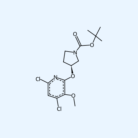 COc1c(Cl)cc(Cl)nc1O[C@H]1CCN(C(=O)OC(C)(C)C)C1